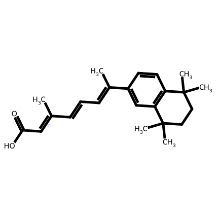 CC(=CC=C/C(C)=C/C(=O)O)c1ccc2c(c1)C(C)(C)CCC2(C)C